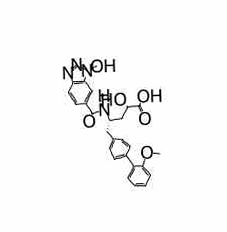 COc1ccccc1-c1ccc(C[C@@H](C[C@H](O)C(=O)O)NC(=O)c2ccc3nnn(O)c3c2)cc1